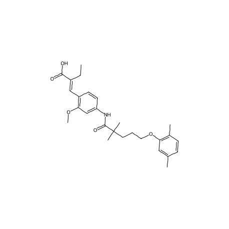 CC/C(=C\c1ccc(NC(=O)C(C)(C)CCCOc2cc(C)ccc2C)cc1OC)C(=O)O